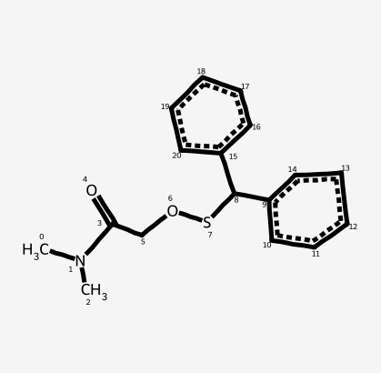 CN(C)C(=O)COSC(c1ccccc1)c1ccccc1